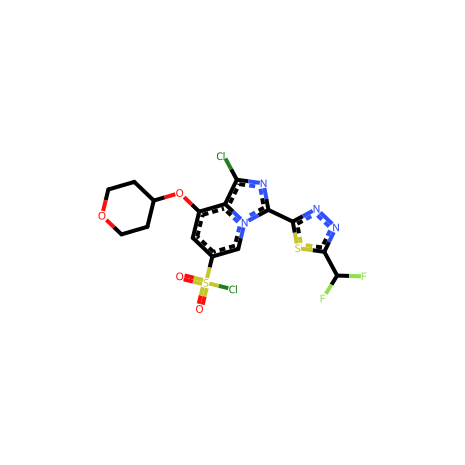 O=S(=O)(Cl)c1cc(OC2CCOCC2)c2c(Cl)nc(-c3nnc(C(F)F)s3)n2c1